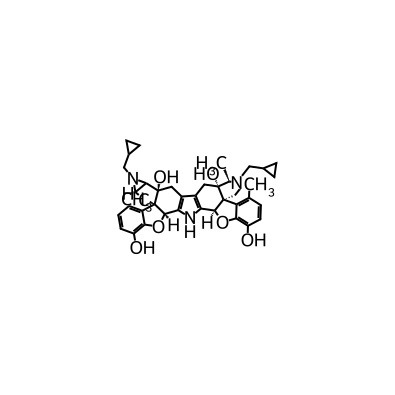 Cc1ccc(O)c2c1[C@]13C[C@@H]4C(N4CC4CC4)[C@]1(O)Cc1c([nH]c4c1C[C@@]1(O)[C@@H](C)N(CC5CC5)CC[C@@]15c1c(C)ccc(O)c1O[C@@H]45)[C@@H]3O2